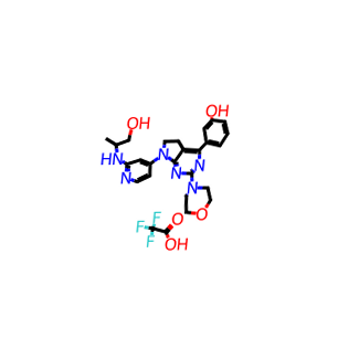 CC(CO)Nc1cc(N2CCc3c(-c4cccc(O)c4)nc(N4CCOCC4)nc32)ccn1.O=C(O)C(F)(F)F